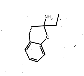 CCC1(N)CCc2ccccc2O1